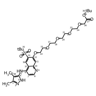 Cc1n[nH]c(Nc2ccnc3cc(OCCOCCOCCOCCOCC(=O)OC(C)(C)C)c(S(=O)(=O)C(C)(C)C)cc23)c1C